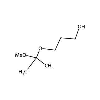 COC(C)(C)OCCCO